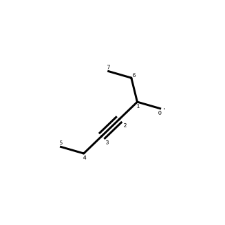 [CH2]C(C#CCC)CC